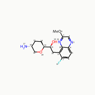 COc1cnc2ccc(F)c(C[C@H](O)[C@@H]3CC[C@@H](N)CO3)c2n1